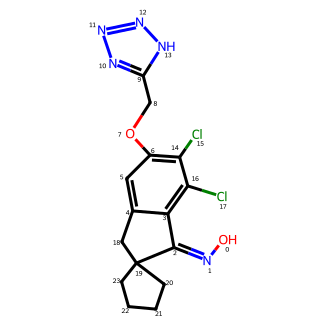 ON=C1c2c(cc(OCc3nnn[nH]3)c(Cl)c2Cl)CC12CCCC2